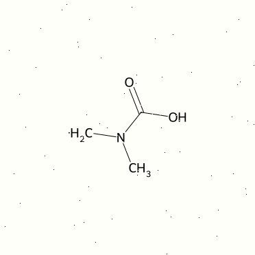 [CH2]N(C)C(=O)O